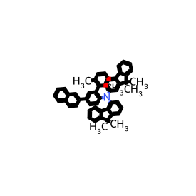 Cc1cccc(C)c1-c1cc(-c2ccc3ccccc3c2)ccc1N(c1ccc2c(c1)C(C)(C)c1ccccc1-2)c1cccc2c1-c1ccccc1C2(C)C